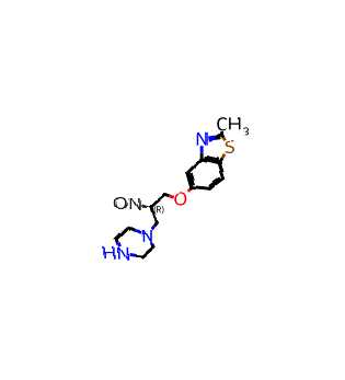 Cc1nc2cc(OC[C@@H](CN3CCNCC3)N=O)ccc2s1